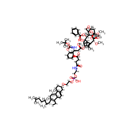 CO[C@H]1C(=O)[C@]2(C)[C@@H](OC)C[C@H]3OC[C@@]3(OC(C)=O)[C@H]2[C@H](OC(=O)c2ccccc2)[C@]2(O)C[C@H](OC(=O)[C@H](OC(=O)CCC(=O)NCCOP(=O)(O)OCCO[C@H]3CC[C@@]4(C)C(=CCC5C4CC[C@@]4(C)C5CC[C@@H]4[C@H](C)CCCC(C)C)C3)[C@@H](NC(=O)OC(C)(C)C)c3ccccc3)C(C)=C1C2(C)C